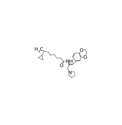 CC(CCCCCC(=O)N[C@@H](Cc1ccc2c(c1)OCCO2)CN1CCCC1)C1CC1